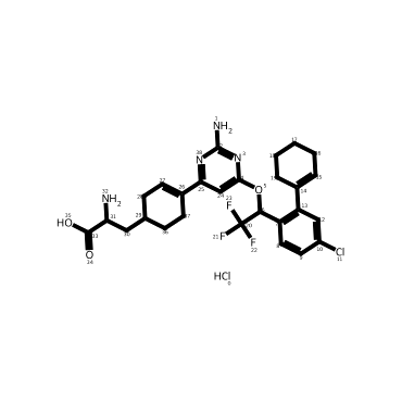 Cl.Nc1nc(OC(c2ccc(Cl)cc2C2=CCCCC2)C(F)(F)F)cc(C2=CCC(CC(N)C(=O)O)CC2)n1